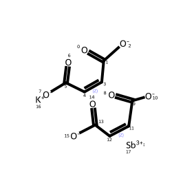 O=C([O-])/C=C\C(=O)[O-].O=C([O-])/C=C\C(=O)[O-].[K+].[Sb+3]